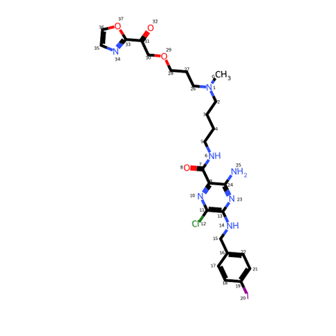 CN(CCCCNC(=O)c1nc(Cl)c(NCc2ccc(I)cc2)nc1N)CCCOCC(=O)c1ncco1